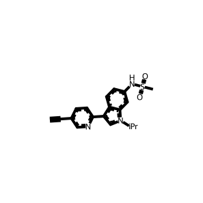 C#Cc1ccc(-c2cn(C(C)C)c3cc(NS(C)(=O)=O)ccc23)nc1